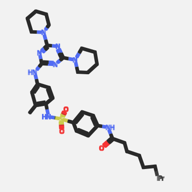 Cc1cc(Nc2nc(N3CCCCC3)nc(N3CCCCC3)n2)ccc1NS(=O)(=O)c1ccc(NC(=O)CCCCCC(C)C)cc1